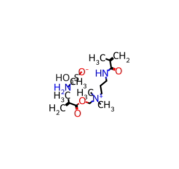 C=C(C)C(=O)NCCC[N+](C)(C)COC(=O)C(=C)C.CN.O=S(=O)([O-])O